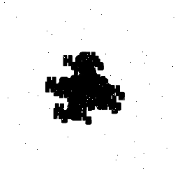 CN(C(=O)OC(C)(C)C)[C@@H]1[C@@H](O)[C@@H](O[C@H]2[C@H](NC(=O)[C@@H](O)CCNC(=O)OC(C)(C)C)C[C@H](NC(=O)OC(C)(C)C)C([C@H]3OC(CN)=CC[C@H]3NC[C@H]3C[C@H](NC(=O)OC(C)(C)C)C3)[C@@H]2O)OC[C@]1(C)O